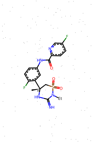 CCN1C(=N)N[C@](C)(c2cc(NC(=O)c3ccc(F)cn3)ccc2F)CS1(=O)=O